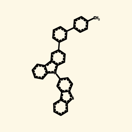 Cc1ccc(-c2cccc(-c3ccc4c(c3)c3ccccc3n4-c3ccc4sc5ccccc5c4c3)c2)cc1